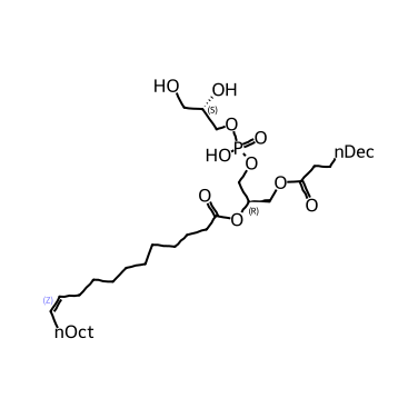 CCCCCCCC/C=C\CCCCCCCCCC(=O)O[C@H](COC(=O)CCCCCCCCCCCC)COP(=O)(O)OC[C@@H](O)CO